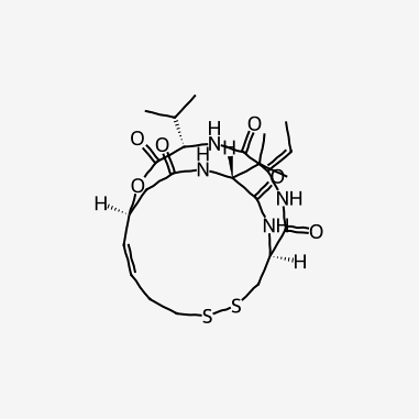 C/C=C1/NC(=O)[C@H]2CSSCC/C=C\[C@H](CC(=O)N[C@H](C(C)C)C(=O)N2)OC(=O)[C@H](C(C)C)NC1=O